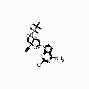 C#C[C@]1(C=O)O[C@@H](n2ccc3c(N)nc(Cl)nc32)C[C@@H]1O[Si](C)(C)C(C)(C)C